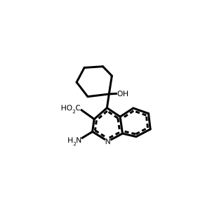 Nc1nc2ccccc2c(C2(O)CCCCC2)c1C(=O)O